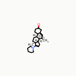 CC1C=C2CC(=O)CC[C@]2(C)[C@@H]2CC[C@]3(C)C(N4CCCCC4)=CC[C@H]3[C@H]12